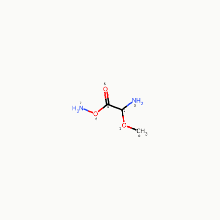 COC(N)C(=O)ON